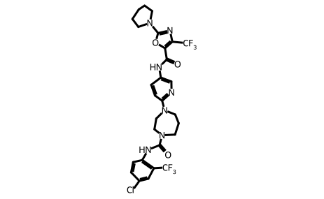 O=C(Nc1ccc(N2CCCN(C(=O)Nc3ccc(Cl)cc3C(F)(F)F)CC2)nc1)c1oc(N2CCCCC2)nc1C(F)(F)F